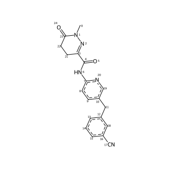 CN1N=C(C(=O)Nc2ccc(Cc3cccc(C#N)c3)cn2)CCC1=O